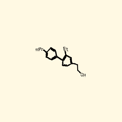 CCCc1ccc(-c2ccc(CCO)cc2CC)cc1